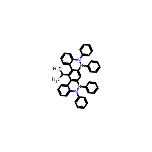 CC(C)c1c2c(cc3c1-c1ccccc1N(c1ccccc1)B3c1ccccc1)B(c1ccccc1)N(c1ccccc1)c1ccccc1-2